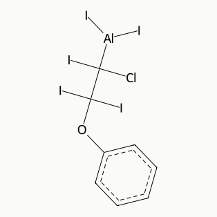 Cl[C](I)([Al]([I])[I])C(I)(I)Oc1ccccc1